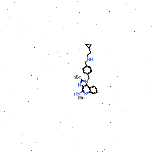 CCCCc1nc2c(NC(C)(C)C)nc3ccccc3c2n1Cc1ccc(CNCCC2CC2)cc1